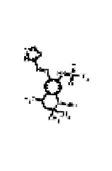 CCCCN1c2cc(NS(=O)(=O)C(F)(F)F)c(N=Nc3nncs3)cc2C(C)CC1(C)C